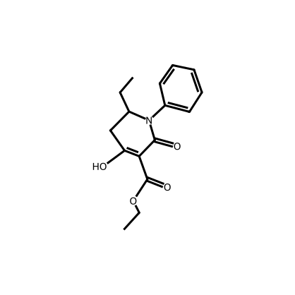 CCOC(=O)C1=C(O)CC(CC)N(c2ccccc2)C1=O